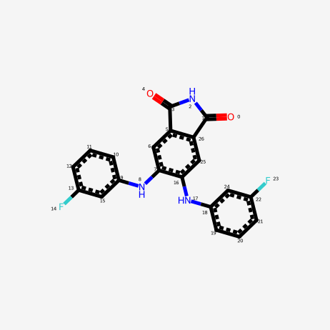 O=C1NC(=O)c2cc(Nc3cccc(F)c3)c(Nc3cccc(F)c3)cc21